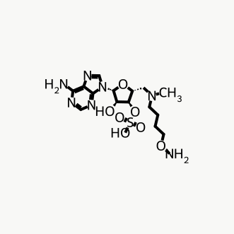 CN(CCCCON)C[C@H]1O[C@@H](n2cnc3c(N)ncnc32)[C@H](O)[C@@H]1OS(=O)(=O)O